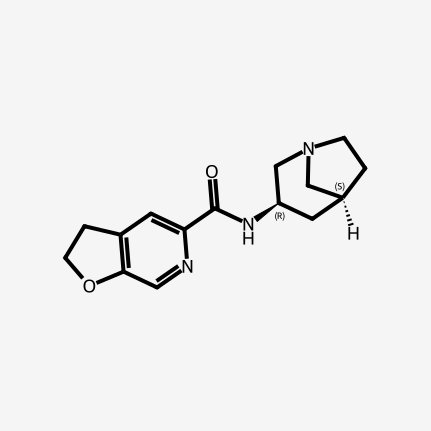 O=C(N[C@@H]1C[C@@H]2CCN(C2)C1)c1cc2c(cn1)OCC2